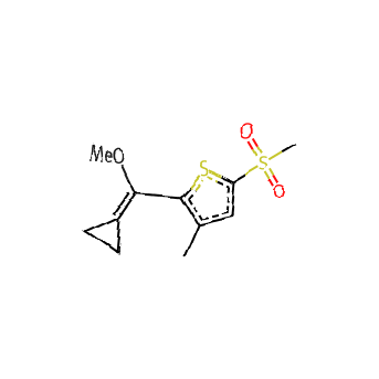 COC(=C1CC1)c1sc(S(C)(=O)=O)cc1C